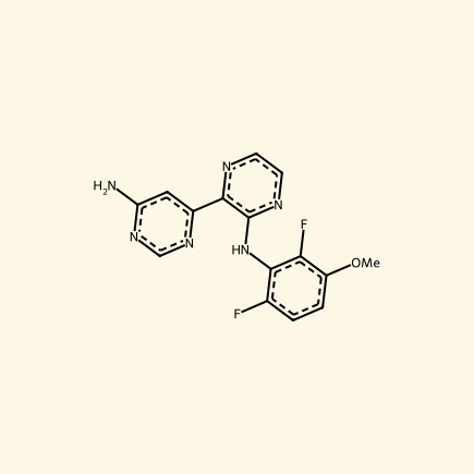 COc1ccc(F)c(Nc2nccnc2-c2cc(N)ncn2)c1F